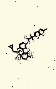 Cc1cc2cc(C(C)(C)C(=O)Oc3ccc(C)c4c3O[C@H]3C(=O)CC[C@@]5(O)[C@@H](C)N(CC6CC6)CC[C@]435)sc2s1